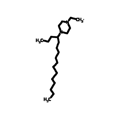 [CH2]CN1CCN(C(CCC)CCCCCCCCCCCC)CC1